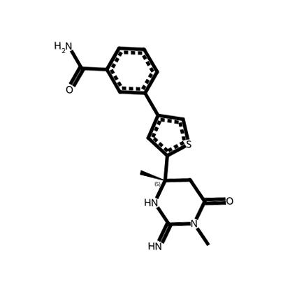 CN1C(=N)N[C@](C)(c2cc(-c3cccc(C(N)=O)c3)cs2)CC1=O